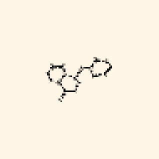 O=C1C=CC(=Cc2ccccc2)c2ccccc21